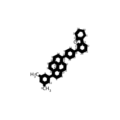 Cc1cc(C)cc(-c2ccc3ccc4c(-c5ccc(-c6cccc7c8c(oc67)C=CCC8)cc5)ccc5ccc2c3c54)c1